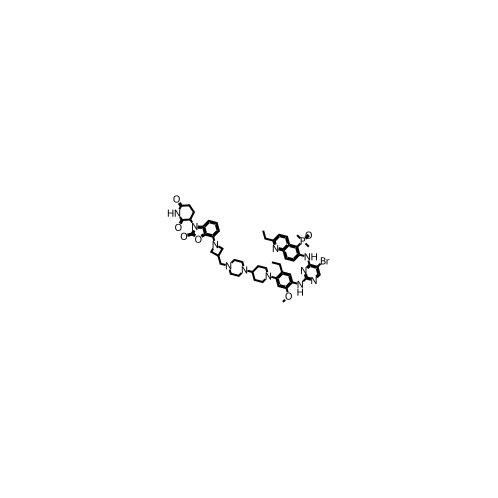 CCc1ccc2c(P(C)(C)=O)c(Nc3nc(Nc4cc(CC)c(N5CCC(N6CCN(CC7CN(c8cccc9c8oc(=O)n9C8CCC(=O)NC8=O)C7)CC6)CC5)cc4OC)ncc3Br)ccc2n1